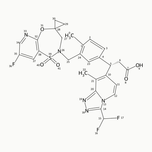 Cc1ccc([C@H](CC(=O)O)c2ccn3c(C(F)F)nnc3c2C)cc1CN1CC2(CC2)Oc2ncc(F)cc2S1(=O)=O